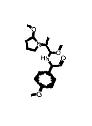 COc1ccc(C(C=O)NC(OC)C(C)N2CCCC2OC)cc1